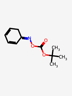 CC(C)(C)OC(=O)ON=C1C=CC=CC1